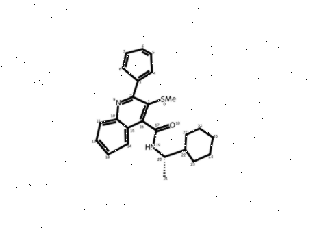 CSc1c(-c2ccccc2)nc2ccccc2c1C(=O)N[C@@H](C)C1CCCCC1